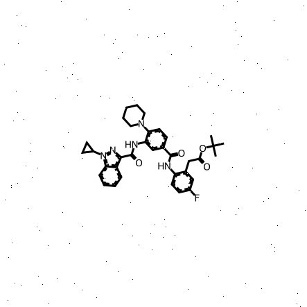 CC(C)(C)OC(=O)Cc1cc(F)ccc1NC(=O)c1ccc(N2CCCCC2)c(NC(=O)c2nn(C3CC3)c3ccccc23)c1